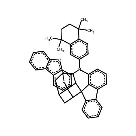 CC1(C)CCC(C)(C)c2cc(N(c3cccc4c3C3(c5ccccc5-4)C4CC5CC6CC3C64C5)c3cccc4c3oc3ccccc34)ccc21